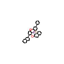 S=P12c3ccc(-c4ccccc4)cc3Oc3ccc(-c4ccc5ccccc5c4)c(c31)Oc1ccc3ccccc3c12